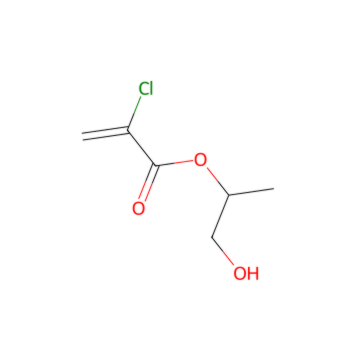 C=C(Cl)C(=O)OC(C)CO